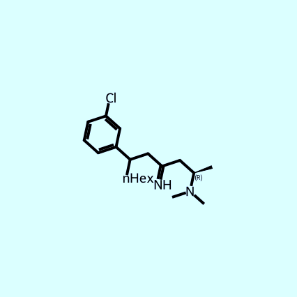 CCCCCCC(CC(=N)C[C@@H](C)N(C)C)c1cccc(Cl)c1